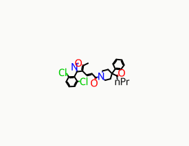 CCCC(=O)C1(c2ccccc2)CCN(C(=O)C=Cc2c(-c3c(Cl)cccc3Cl)noc2C)CC1